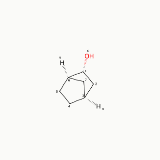 O[C@@H]1C[C@H]2CC[C@@H]1C2